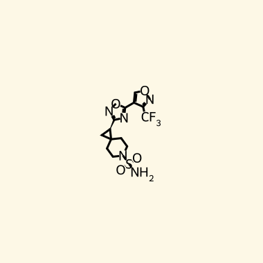 NS(=O)(=O)N1CCC2(CC1)C[C@H]2c1noc(-c2conc2C(F)(F)F)n1